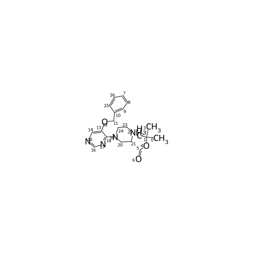 CC(C)(C)OC=O.c1ccc(COc2cncnc2N2CCNCC2)cc1